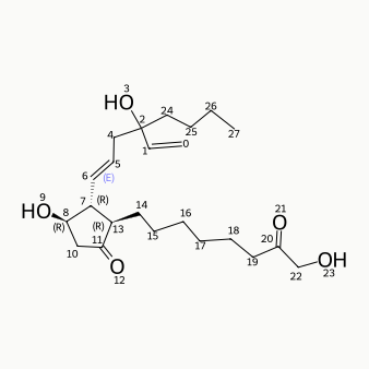 C=CC(O)(C/C=C/[C@H]1[C@H](O)CC(=O)[C@@H]1CCCCCCC(=O)CO)CCCC